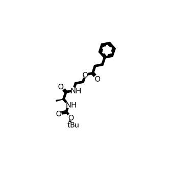 C[C@H](NC(=O)OC(C)(C)C)C(=O)NCCOC(=O)CCc1ccccc1